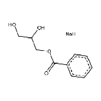 O=C(OCC(O)CO)c1ccccc1.[NaH]